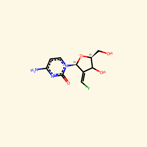 Nc1ccn([C@H]2O[C@@H](CO)C(O)C2=CF)c(=O)n1